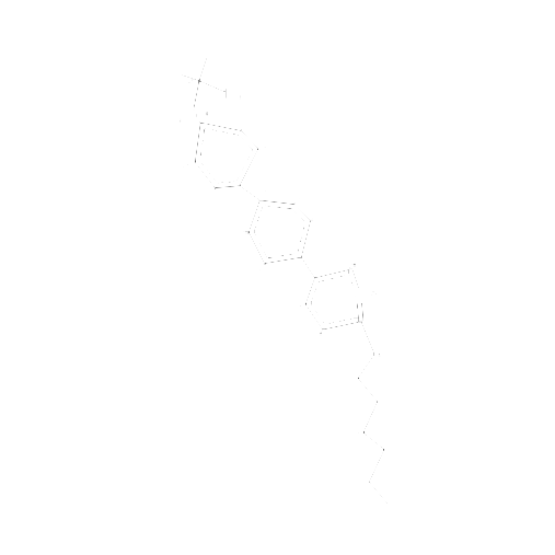 CCCCCCCc1ccc(-c2ccc(-c3ccc(OC(F)(F)F)cc3)cc2)cc1